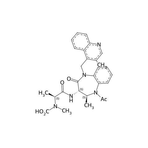 CC(=O)N1c2ccccc2N(Cc2c(C)cnc3ccccc23)C(=O)[C@@H](NC(=O)[C@H](C)N(C)C(=O)O)[C@@H]1C